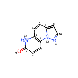 O=c1ccc2c(ccc3ccnn32)[nH]1